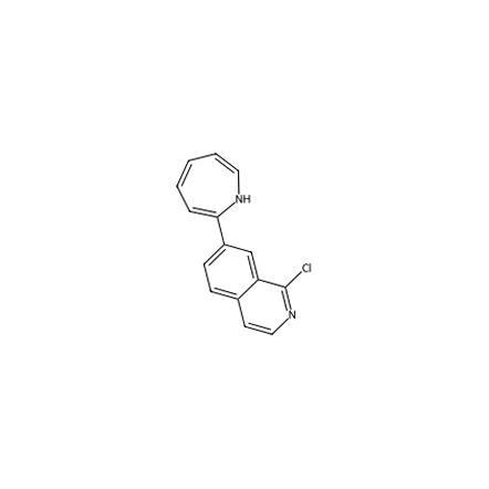 Clc1nccc2ccc(C3=CC=CC=CN3)cc12